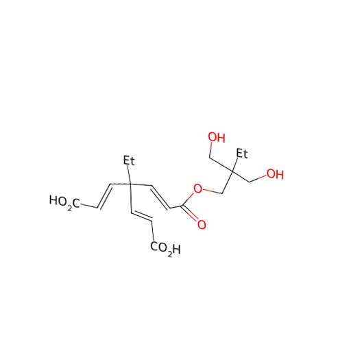 CCC(C=CC(=O)O)(C=CC(=O)O)C=CC(=O)OCC(CC)(CO)CO